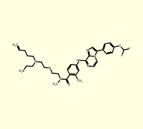 C=CCCCN(CCN)CCOCCN(C)C(=O)c1ccc(Nc2nccn3c(-c4ccc(OC(F)F)cc4)cnc23)cc1C